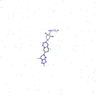 Cc1cn2nc(-c3cc(F)c4cc(N5C[C@@H]6C(NC(=O)O)[C@@H]6C5)nnc4c3)cc(C)c2n1